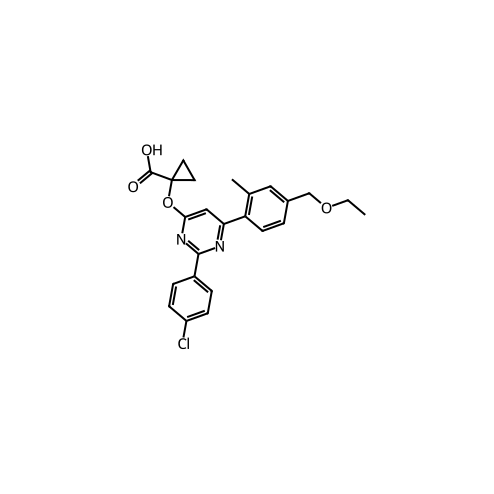 CCOCc1ccc(-c2cc(OC3(C(=O)O)CC3)nc(-c3ccc(Cl)cc3)n2)c(C)c1